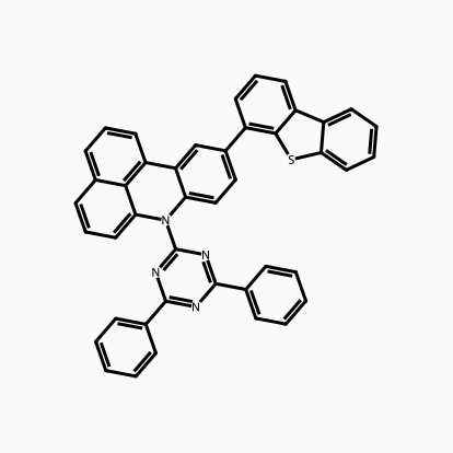 c1ccc(-c2nc(-c3ccccc3)nc(N3c4ccc(-c5cccc6c5sc5ccccc56)cc4-c4cccc5cccc3c45)n2)cc1